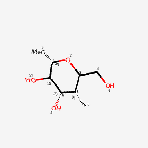 CO[C@@H]1OC(CO)[C@H](C)[C@H](O)C1O